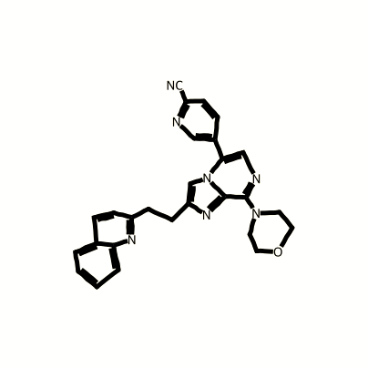 N#Cc1ccc(-c2cnc(N3CCOCC3)c3nc(CCc4ccc5ccccc5n4)cn23)cn1